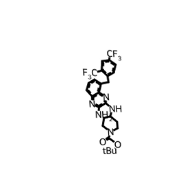 CC(C)(C)OC(=O)N1CCC(Nc2nc3c(Cc4ccc(C(F)(F)F)cc4C(F)(F)F)cccc3nc2N)CC1